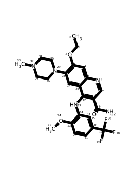 CCOc1cc2ncc(C(N)=O)c(Nc3cc(C(F)(F)F)ccc3OC)c2cc1N1CCN(C)CC1